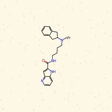 CCCN(CCCCNC(=O)c1cc2ncccc2[nH]1)C1Cc2ccccc2C1